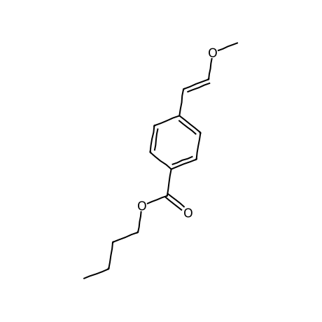 CCCCOC(=O)c1ccc(C=COC)cc1